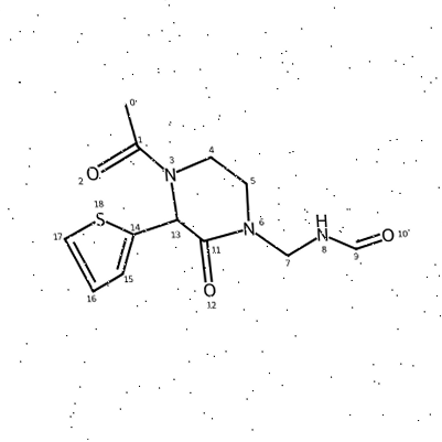 CC(=O)N1CCN(CNC=O)C(=O)C1c1cccs1